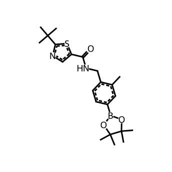 Cc1cc(B2OC(C)(C)C(C)(C)O2)ccc1CNC(=O)c1cnc(C(C)(C)C)s1